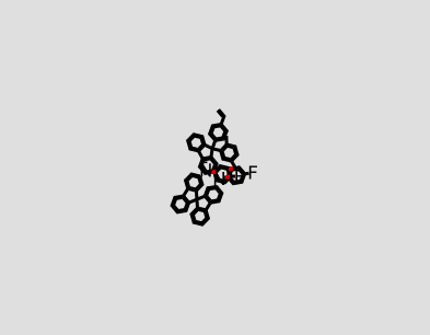 C=Cc1ccc(C2(c3cc(C)ccc3C)c3ccccc3-c3ccc(N(c4ccc(F)cc4)c4ccc5c(c4)C4(c6ccccc6-c6ccc(N(C)c7ccc(F)cc7)cc64)c4ccccc4-5)cc32)cc1